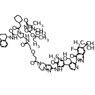 C[C@@H](C(=O)N[C@H](C(=O)N1C[C@@H](NC(=O)CCOCCC(=O)N2CCn3nc(Nc4cc(-c5ccnc(-n6ncc7cc(C(C)(C)C)cc(F)c7c6=O)c5CO)cn(C)c4=O)cc3C2)C[C@H]1C(=O)N[C@@H]1CCCc2ccccc21)C1CCCCC1)N(C)C(=O)OC(C)(C)C